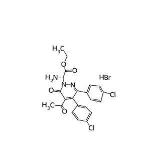 Br.CCOC(=O)[C@@H](N)n1nc(-c2ccc(Cl)cc2)c(-c2ccc(Cl)cc2)c(C(C)=O)c1=O